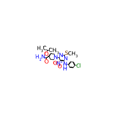 CSc1nc(Nc2ccc(Cl)cc2)c([N+](=O)[O-])c(N2CCC(OC(C)C)(C(N)=O)CC2)n1